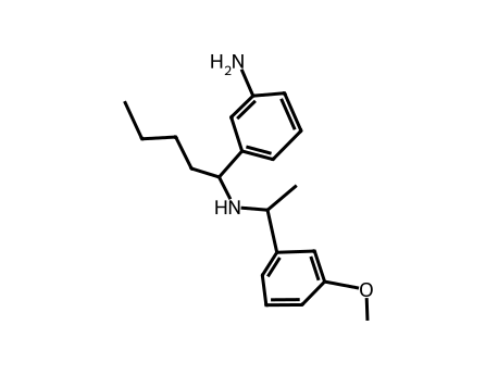 CCCCC(NC(C)c1cccc(OC)c1)c1cccc(N)c1